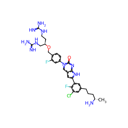 C[C@H](N)CCCc1cc(Cl)c(F)c(-c2cc3cn(-c4ccc(CO[C@H](CCNC(=N)N)CNC(=N)N)c(F)c4)c(=O)nc3[nH]2)c1